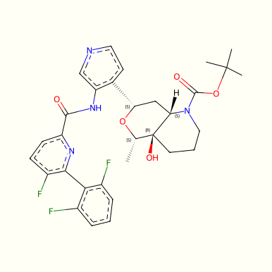 C[C@@H]1O[C@H](c2ccncc2NC(=O)c2ccc(F)c(-c3c(F)cccc3F)n2)C[C@@H]2N(C(=O)OC(C)(C)C)CCC[C@]12O